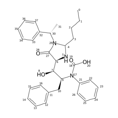 CCCCC1N[C@@H]([C@H](O)[C@H](Cc2ccccc2)N(C(=O)O)c2ccccc2)C(=O)N1[C@@H](C)c1ccccc1